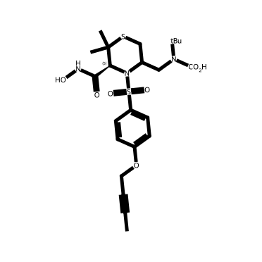 CC#CCOc1ccc(S(=O)(=O)N2C(CN(C(=O)O)C(C)(C)C)CSC(C)(C)[C@@H]2C(=O)NO)cc1